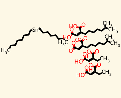 CC(C)CCCCCC(=CC(=O)O)C(=O)O.CC(C)CCCCCC(=CC(=O)[O-])C(=O)[O-].CCC(=CC(=O)O)C(=O)O.CCC(=CC(=O)O)C(=O)O.CCCCCCC[CH2][Sn+2][CH2]CCCCCCC